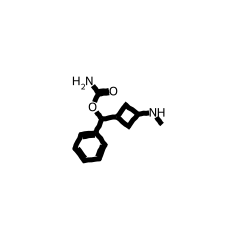 CNC1CC(C(OC(N)=O)c2ccccc2)C1